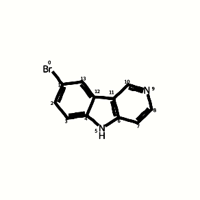 Brc1ccc2[nH]c3ccncc3c2c1